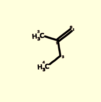 [C]=C(C)CC